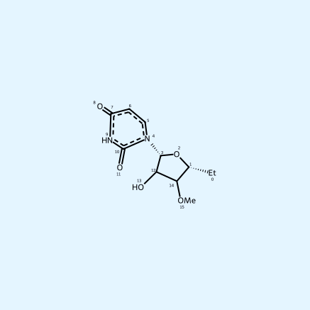 CC[C@H]1O[C@@H](n2ccc(=O)[nH]c2=O)C(O)C1OC